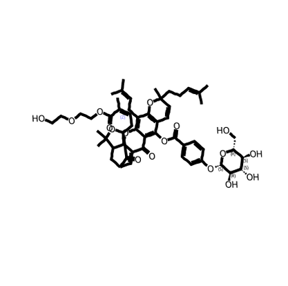 CC(C)=CCCC1(C)C=Cc2c(c(CC=C(C)C)c3c(c2OC(=O)c2ccc(O[C@@H]4O[C@H](CO)[C@@H](O)[C@H](O)[C@H]4O)cc2)C(=O)C2=CC4CC5C(C)(C)OC(C/C=C(/C)C(=O)OCCOCCO)(C4=O)C25O3)O1